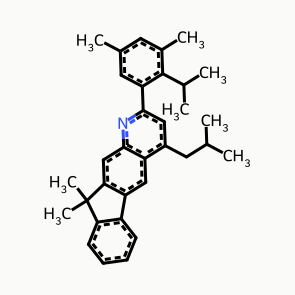 Cc1cc(C)c(C(C)C)c(-c2cc(CC(C)C)c3cc4c(cc3n2)C(C)(C)c2ccccc2-4)c1